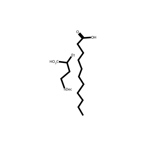 CCCCCCCCCCC(=O)O.CCCCCCCCCCCCC(CC)C(=O)O